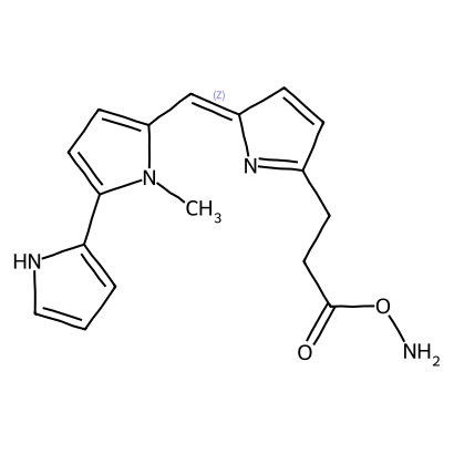 Cn1c(/C=C2/C=CC(CCC(=O)ON)=N2)ccc1-c1ccc[nH]1